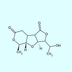 CC(O)C1OC(=O)C2C3CC(=O)O[C@H](C)[C@H]3O[C@H]12